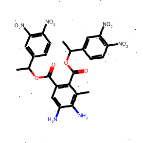 Cc1c(N)c(N)cc(C(=O)OC(C)c2ccc([N+](=O)[O-])c([N+](=O)[O-])c2)c1C(=O)OC(C)c1ccc([N+](=O)[O-])c([N+](=O)[O-])c1